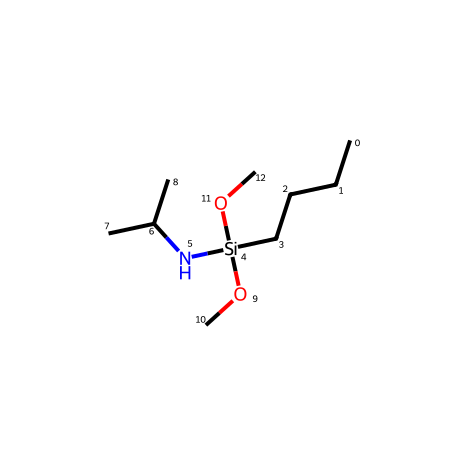 CCCC[Si](NC(C)C)(OC)OC